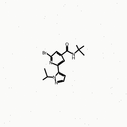 CC(C)n1nccc1-c1cc(C(=O)NC(C)(C)C)cc(Br)n1